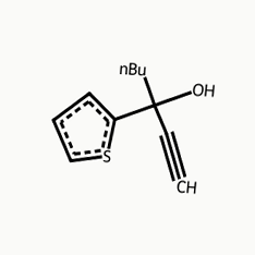 C#CC(O)(CCCC)c1cccs1